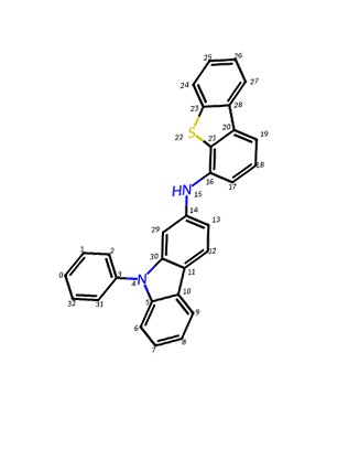 c1ccc(-n2c3ccccc3c3ccc(Nc4cccc5c4sc4ccccc45)cc32)cc1